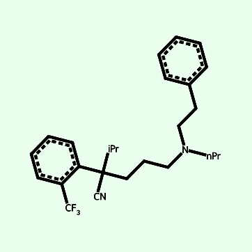 CCCN(CCCC(C#N)(c1ccccc1C(F)(F)F)C(C)C)CCc1ccccc1